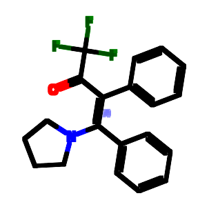 O=C(/C(=C(/c1ccccc1)N1CCCC1)c1ccccc1)C(F)(F)F